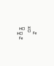 Cl.Cl.Cl.[Fe].[Fe]